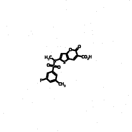 Cc1cc(F)cc(S(=O)(=O)N(C)c2cc3oc(=O)c(C(=O)O)cc3s2)c1